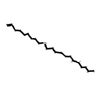 C=CCCCCCCCOCCCCCCCCCCCC